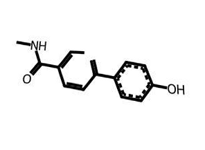 C=C(/C=C\C(=C/C)C(=O)NC)c1ccc(O)cc1